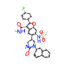 CCS(=O)(=O)Nc1cc2oc(-c3ccc(F)cc3)c(C(=O)NC)c2cc1-c1cnc(=O)n(-c2ccc3ccccc3c2)c1